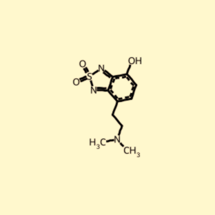 CN(C)CCc1ccc(O)c2c1=NS(=O)(=O)N=2